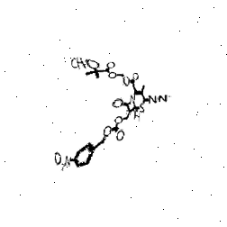 CC1=C(C(=O)OCOC(=O)C(C)(C)C=O)N2C(=O)[C@H](COC(=O)OCc3ccc([N+](=O)[O-])cc3)[C@@H]2SC1=[N+]=[N-]